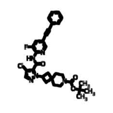 CC(C)(C)OC(=O)N1CCC2(CC1)CC(n1ncc(Cl)c1C(=O)Nc1ncc(C#Cc3ccccc3)cc1F)C2